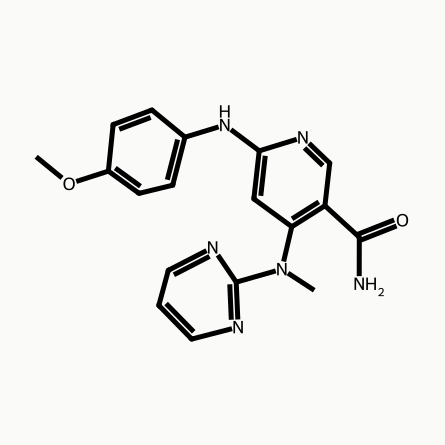 COc1ccc(Nc2cc(N(C)c3ncccn3)c(C(N)=O)cn2)cc1